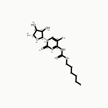 CCCCCCOC(=O)Nc1nc(=O)n([C@@H]2O[C@H](C)C(O)C2O)cc1F